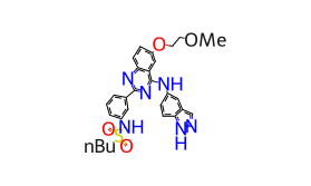 CCCCS(=O)(=O)Nc1cccc(-c2nc(Nc3ccc4[nH]ncc4c3)c3cc(OCCOC)ccc3n2)c1